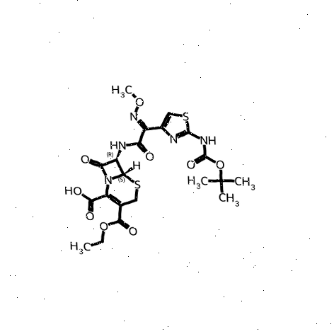 CCOC(=O)C1=C(C(=O)O)N2C(=O)[C@@H](NC(=O)C(=NOC)c3csc(NC(=O)OC(C)(C)C)n3)[C@@H]2SC1